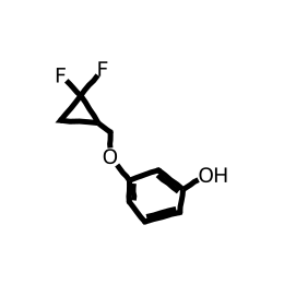 Oc1cccc(OCC2CC2(F)F)c1